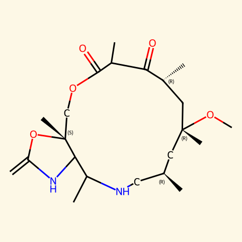 C=C1NC2C(C)NC[C@H](C)C[C@@](C)(OC)C[C@@H](C)C(=O)C(C)C(=O)OC[C@@]2(C)O1